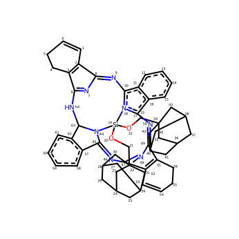 C1=CC2=C(CC1)C1=N/C2=N\c2c3ccccc3c3n2[Si](OCC24CC5CC(CC(C5)C2)C4)(OCC24CC5CC(CC(C5)C2)C4)N2/C(=N\C4=NC(=N\3)/C3=C4C=CCC3)c3ccccc3C2N1